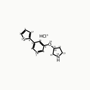 Cl.c1csc(-c2cncc(O[C@H]3CCNC3)c2)c1